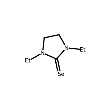 CCN1CCN(CC)C1=[Se]